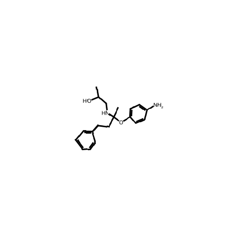 CC(O)CNC(C)(CCc1ccccc1)Oc1ccc(N)cc1